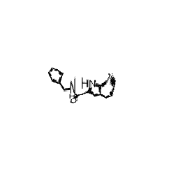 O=C(NCc1ccccc1)c1cc2cccnc2[nH]1